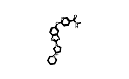 CNC(=O)c1ccc(Oc2ccc3nc(N4CC[C@@H](N5CCCCC5)C4)sc3c2)nc1